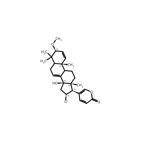 CO[C@H]1C=C[C@]2(C)C3CC[C@]4(C)[C@@H](c5ccc(=O)oc5)[C@@H](Cl)C[C@]4(O)C3=CCC2C1(C)C